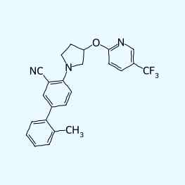 Cc1ccccc1-c1ccc(N2CCC(Oc3ccc(C(F)(F)F)cn3)C2)c(C#N)c1